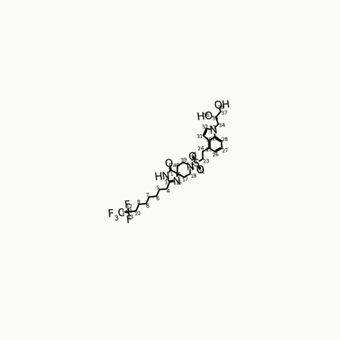 O=C1NC(CCCCCCCC(F)(F)C(F)(F)F)=NC12CCN(S(=O)(=O)CCc1cccc3c1ccn3C[C@H](O)CO)CC2